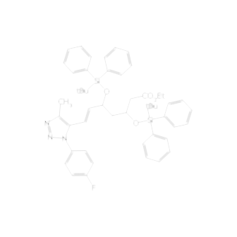 CCOC(=O)CC(CC(C=Cc1c(C)nnn1-c1ccc(F)cc1)O[Si](c1ccccc1)(c1ccccc1)C(C)(C)C)O[Si](c1ccccc1)(c1ccccc1)C(C)(C)C